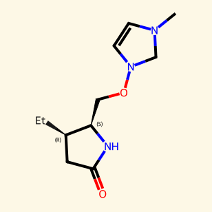 CC[C@@H]1CC(=O)N[C@@H]1CON1C=CN(C)C1